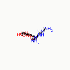 NCCNCCNCCN(CCN)CC(O)COCCC[Si](O)(O)O